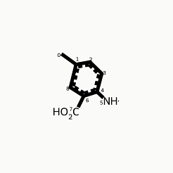 Cc1ccc([NH])c(C(=O)O)c1